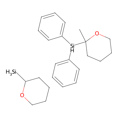 CC1([SiH](c2ccccc2)c2ccccc2)CCCCO1.[SiH3]C1CCCCO1